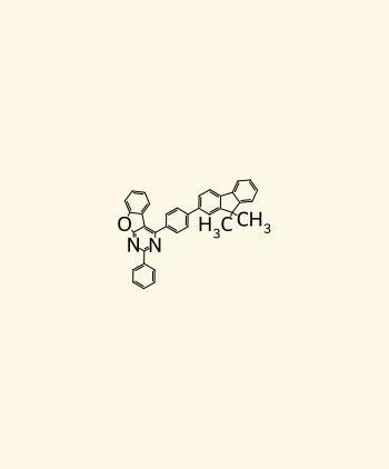 CC1(C)c2ccccc2-c2ccc(-c3ccc(-c4nc(-c5ccccc5)nc5oc6ccccc6c45)cc3)cc21